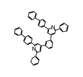 C1=CCCC(c2cc(-c3cccc(-c4cc(-c5ccccc5)nc(-c5ccc(-c6ccccc6)cc5)c4)c3)cc(-c3ccc(-c4ccccc4)cc3)n2)=C1